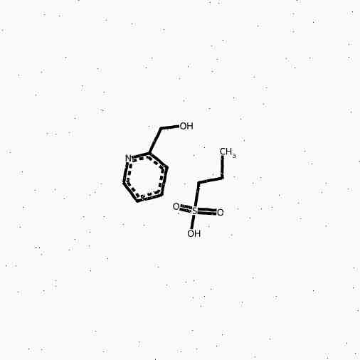 CCCS(=O)(=O)O.OCc1ccccn1